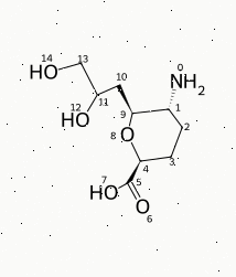 N[C@@H]1CC[C@@H](C(=O)O)O[C@H]1CC(O)CO